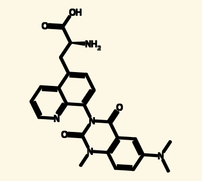 CN(C)c1ccc2c(c1)c(=O)n(-c1ccc(C[C@H](N)C(=O)O)c3cccnc13)c(=O)n2C